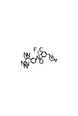 Cn1cnnc1-c1cnn(C)c1-c1cccc(N2Cc3c(cc(CN4CCC5(CC5)C4)cc3C(F)(F)F)C2=O)c1